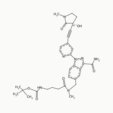 CN(Cc1ccc2c(c1)c(C(N)=O)nn2-c1cc(C#C[C@]2(O)CCN(C)C2=O)ccn1)C(=O)CCCNC(=O)OC(C)(C)C